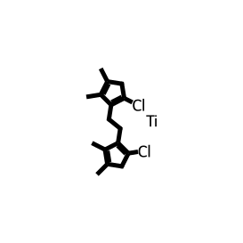 CC1=C(C)C(CCC2=C(Cl)CC(C)=C2C)=C(Cl)C1.[Ti]